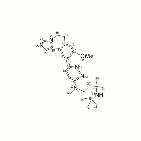 COc1cc2c(cc1-c1ccc(N(C)C3CC(C)(C)NC(C)(C)C3)nn1)-c1cncn1CC2